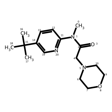 CN(C(=O)CN1CCOCC1)c1ccc(C(C)(C)C)cn1